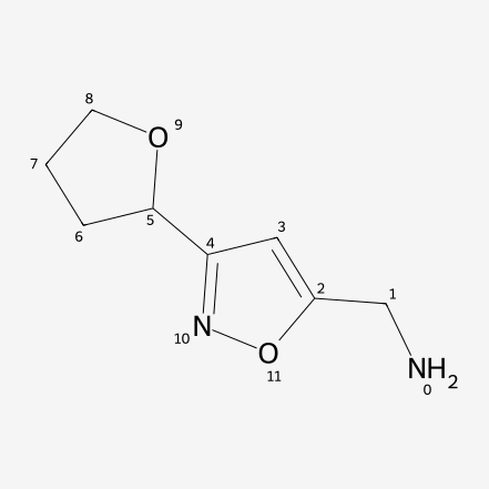 NCc1cc(C2CCCO2)no1